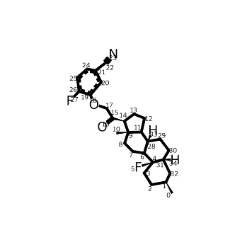 C[C@H]1CC[C@]2(F)C3CC[C@@]4(C)C(CC[C@@H]4C(=O)COc4cc(C#N)ccc4F)[C@@H]3CC[C@@H]2C1